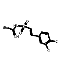 CC(C)(C)C(=N)NS(=O)(=O)C=Cc1ccc(Cl)c(Cl)c1